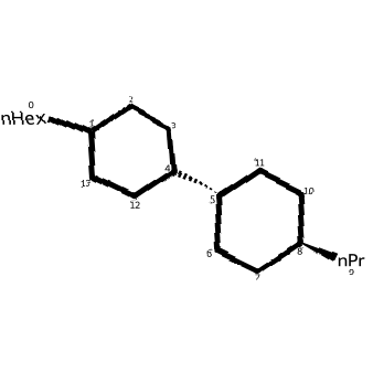 CCCCCCC1CCC([C@H]2CC[C@H](CCC)CC2)CC1